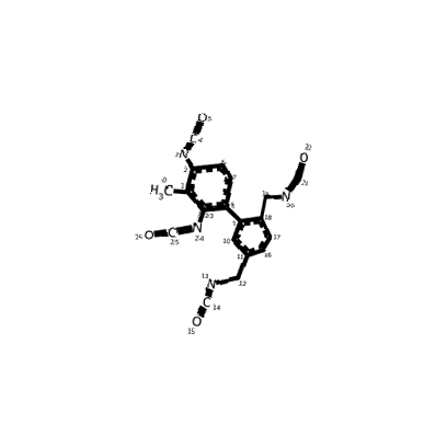 Cc1c(N=C=O)ccc(-c2cc(CN=C=O)ccc2CN=C=O)c1N=C=O